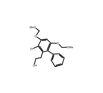 CCc1c(OCOC)cc(OCOC)c(-c2ccccc2)c1CCO